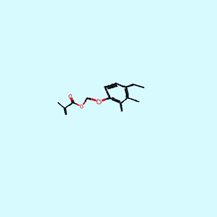 C=C(C)C(=O)OCOc1ccc(CC)c(C)c1C